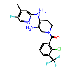 Cc1cc(N(N)C2=C(N)CN(C(=O)c3cccc(C(F)(F)F)c3Cl)CC2)ncc1F